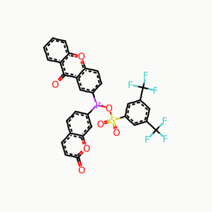 O=c1ccc2ccc([I+](OS(=O)(=O)c3cc(C(F)(F)F)cc(C(F)(F)F)c3)c3ccc4oc5ccccc5c(=O)c4c3)cc2o1